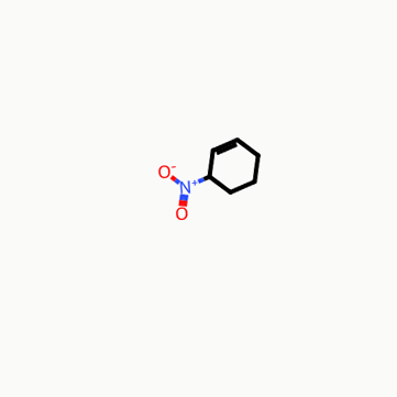 O=[N+]([O-])C1C=CCCC1